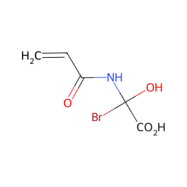 C=CC(=O)NC(O)(Br)C(=O)O